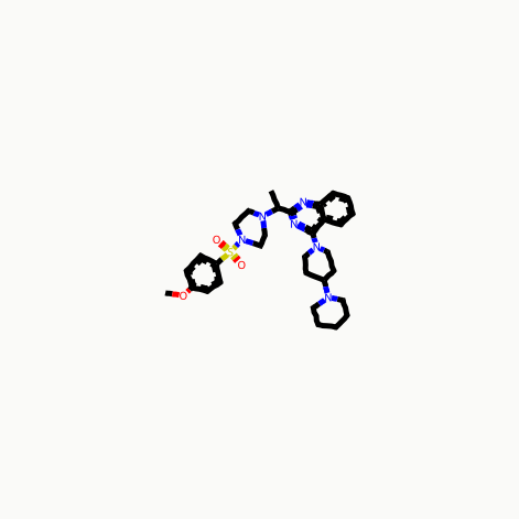 COc1ccc(S(=O)(=O)N2CCN(C(C)c3nc(N4CCC(N5CCCCC5)CC4)c4ccccc4n3)CC2)cc1